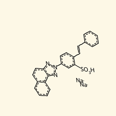 O=S(=O)(O)c1cc(-n2nc3ccc4ccccc4c3n2)ccc1C=Cc1ccccc1.[Na].[Na]